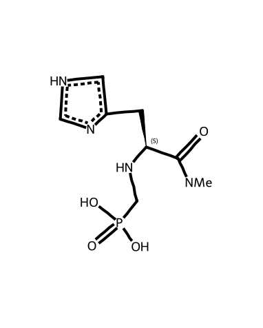 CNC(=O)[C@H](Cc1c[nH]cn1)NCP(=O)(O)O